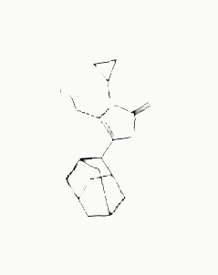 CC(C)Cc1c(C2C3CC4CC(C3)CC2C4)[nH]c(=O)n1C1CC1